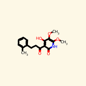 COc1[nH]c(=O)c(C(=O)CCc2ccccc2C)c(O)c1OC